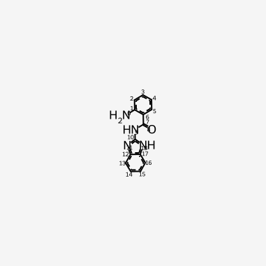 Nc1ccccc1C(=O)Nc1nc2ccccc2[nH]1